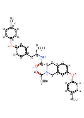 CC(C)COC(=O)N1Cc2cc(Oc3ccc(C(C)(C)C)cc3)ccc2C[C@H]1C(=O)N[C@@H](Cc1ccc(Oc2ccc(C(F)(F)F)cc2)cc1)C(=O)O